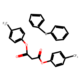 O=C(CC(=O)Oc1ccc(C(F)(F)F)cc1)Oc1ccc(C(F)(F)F)cc1.[B](c1ccccc1)c1ccccc1